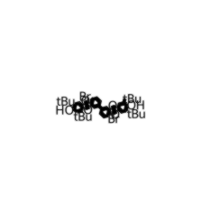 CC(C)(C)c1cc(S(=O)(=O)c2cc(-c3ccc(Br)c(S(=O)(=O)c4cc(C(C)(C)C)c(O)c(C(C)(C)C)c4)c3)ccc2Br)cc(C(C)(C)C)c1O